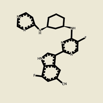 N#Cc1cc(F)c2[nH]cc(-c3ncc(F)c(N[C@@H]4CCC[C@H](Nc5ccncn5)C4)n3)c2c1